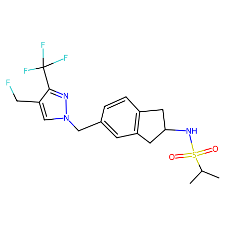 CC(C)S(=O)(=O)NC1Cc2ccc(Cn3cc(CF)c(C(F)(F)F)n3)cc2C1